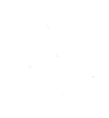 COc1ccc2c3ccnc(C(F)(F)F)c3n(CCN3CCOCC3)c2c1F.Cl